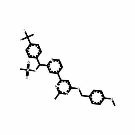 COc1ccc(COc2cc(-c3ccnc(C(OS(C)(=O)=O)c4ccc(C(F)(F)F)cc4)c3)nc(C)n2)cc1